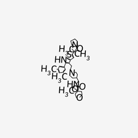 COC1(C(=O)NCC2CCN(CCc3c(-c4cc(C)cc(C)c4)[nH]c4sc(C(C)(C)C(=O)N5C6CCC5CC6)cc34)CC2)CCOCC1